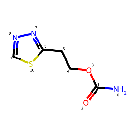 NC(=O)OCCc1nncs1